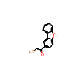 O=C(CS)c1ccc2oc3ccccc3c2c1